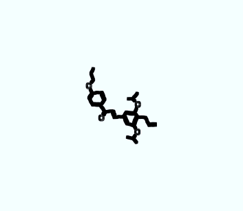 C=CCc1c(OC(C)C)cc(C=CC(=O)c2ccc(OCCC)cc2)cc1OC(C)C